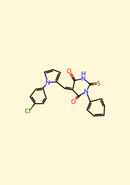 O=C1NC(=S)N(c2ccccc2)C(=O)/C1=C/c1cccn1-c1ccc(Cl)cc1